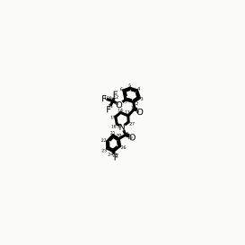 O=C(c1ccccc1OC(F)(F)F)C1CCCN(C(=O)c2cccc(F)c2)C1